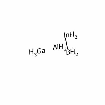 [AlH3].[BH2][InH2].[GaH3]